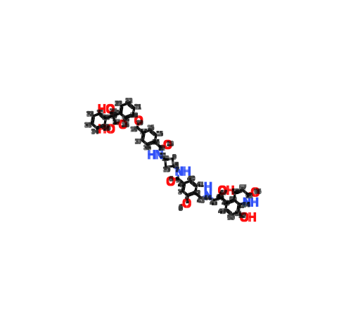 COc1cc(C(=O)NC2CC(NC(=O)c3ccc(COc4cccc([C@](O)(C(=O)O)c5ccccc5)c4)cc3)C2)ccc1CNC[C@H](O)c1ccc(O)c2[nH]c(=O)ccc12